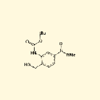 CNC(=O)c1ccc(CO)c(NC(=O)OC(C)(C)C)c1